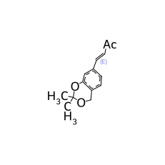 CC(=O)/C=C/c1ccc2c(c1)OC(C)(C)OC2